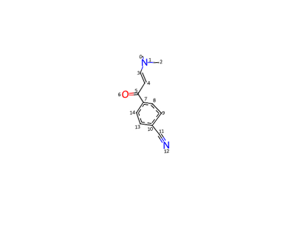 CN(C)/C=C/C(=O)c1ccc(C#N)cc1